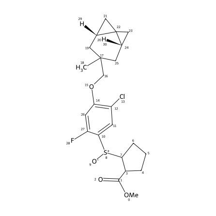 COC(=O)C1CCCC1[S+]([O-])c1cc(Cl)c(OCC2(C)C[C@@H]3CC34C[C@@H]4C2)cc1F